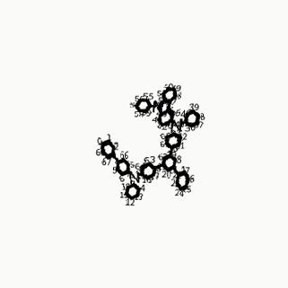 c1ccc(-c2ccc(N(c3ccccc3)c3ccc(-c4cc(-c5ccccc5)cc(-c5ccc(N(c6ccccc6)c6ccc7c(c6)c6ccccc6n7-c6ccccc6)cc5)c4)cc3)cc2)cc1